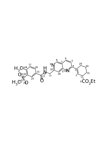 CCOC(=O)C1C=C(c2ccc3cnc(CNC(=O)c4ccc(C)c(S(C)(=O)=O)c4)cc3n2)CCC1